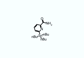 CCC[CH2][Sn]([CH2]CCC)([CH2]CCC)[c]1cccc(C(N)=O)n1